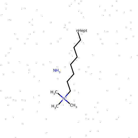 CCCCCCCCCCCCCC[N+](C)(C)C.N